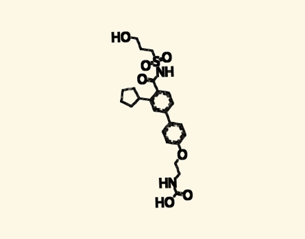 O=C(O)NCCOc1ccc(-c2ccc(C(=O)NS(=O)(=O)CCCO)c(C3CCCC3)c2)cc1